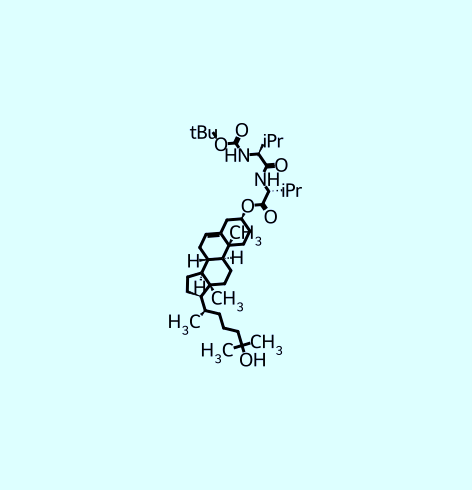 CC(C)[C@H](NC(=O)OC(C)(C)C)C(=O)N[C@@H](C(=O)O[C@H]1CC[C@@]2(C)C(=CC[C@H]3[C@@H]4CC[C@H]([C@H](C)CCCC(C)(C)O)[C@@]4(C)CC[C@@H]32)C1)C(C)C